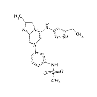 CCc1cc(NC2=CN(c3cccc(NS(C)(=O)=O)c3)CC3=NC(C)=C[N+]23)n[nH]1